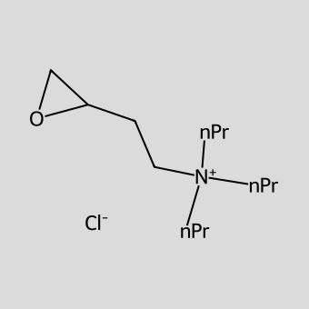 CCC[N+](CCC)(CCC)CCC1CO1.[Cl-]